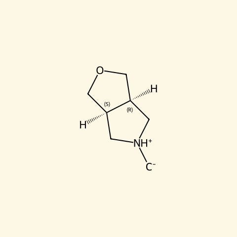 [CH2-][NH+]1C[C@H]2COC[C@H]2C1